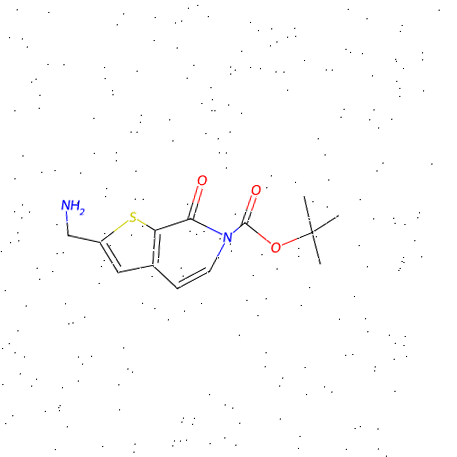 CC(C)(C)OC(=O)n1ccc2cc(CN)sc2c1=O